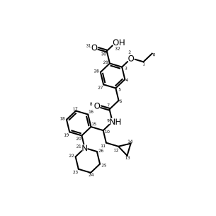 CCOc1cc(CC(=O)NC(CC2CC2)c2ccccc2N2CCCCC2)ccc1C(=O)O